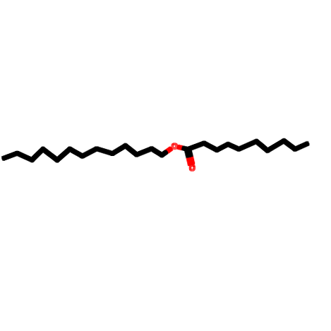 CCCCCCCCCCCCCOC(=O)CCCCCCCCC